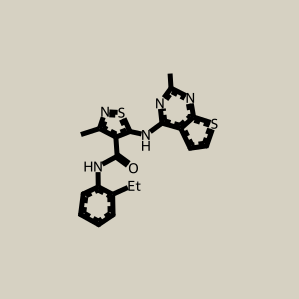 CCc1ccccc1NC(=O)c1c(C)nsc1Nc1nc(C)nc2sccc12